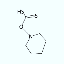 S=C(S)ON1CCCCC1